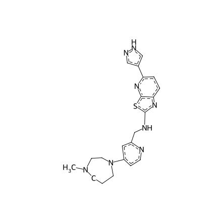 CN1CCCN(c2ccnc(CNc3nc4ccc(-c5cn[nH]c5)nc4s3)c2)CC1